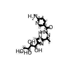 CC(=NNC(=O)c1ccc(N)nc1)c1nc([C@@H](O)[C@H](O)[C@H](O)CO)c[nH]1